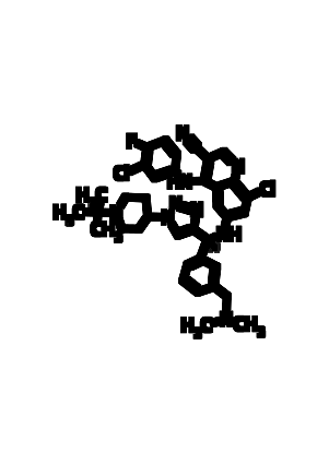 CN(C)Cc1cccc([C@H](Nc2cc(Cl)c3ncc(C#N)c(Nc4ccc(F)c(Cl)c4)c3c2)c2cn(C3CCN(C(C)(C)C)CC3)nn2)c1